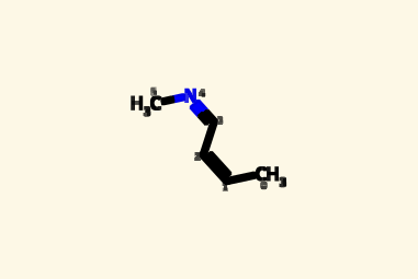 C/C=C\C=N/C